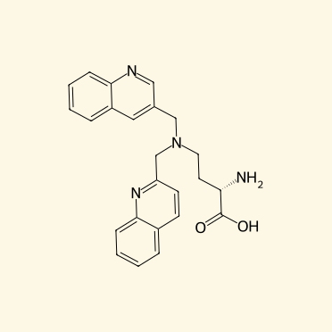 N[C@@H](CCN(Cc1cnc2ccccc2c1)Cc1ccc2ccccc2n1)C(=O)O